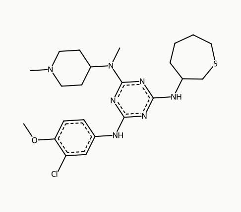 COc1ccc(Nc2nc(NC3CCCCSC3)nc(N(C)C3CCN(C)CC3)n2)cc1Cl